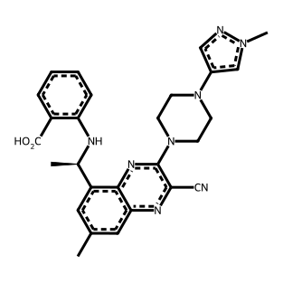 Cc1cc([C@@H](C)Nc2ccccc2C(=O)O)c2nc(N3CCN(c4cnn(C)c4)CC3)c(C#N)nc2c1